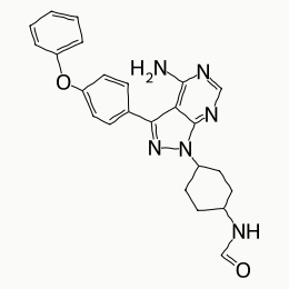 Nc1ncnc2c1c(-c1ccc(Oc3ccccc3)cc1)nn2C1CCC(NC=O)CC1